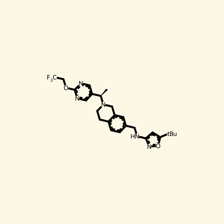 C[C@H](c1cnc(OCC(F)(F)F)nc1)N1CCc2ccc(CNc3cc(C(C)(C)C)on3)cc2C1